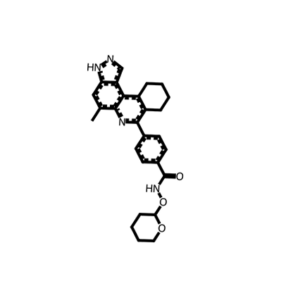 Cc1cc2[nH]ncc2c2c3c(c(-c4ccc(C(=O)NOC5CCCCO5)cc4)nc12)CCCC3